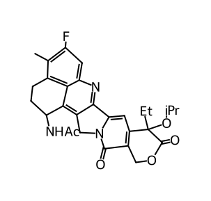 CCC1(OC(C)C)C(=O)OCc2c1cc1n(c2=O)Cc2c-1nc1cc(F)c(C)c3c1c2C(NC(C)=O)CC3